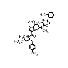 CC[C@H](C)[C@H](NC(=O)[C@H]1CCCCN1C)C(=O)N(C)[C@H](C[C@@H](OC(C)=O)c1nc(C(=O)N[C@@H](Cc2ccc(N)cc2)C[C@H](C)C(=O)O)cs1)C(C)C